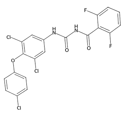 O=C(NC(=O)c1c(F)cccc1F)Nc1cc(Cl)c(Oc2ccc(Cl)cc2)c(Cl)c1